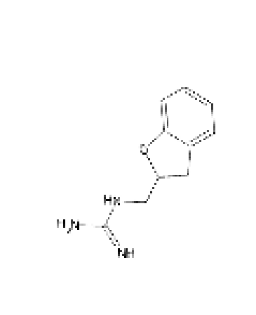 N=C(N)NCC1Cc2ccccc2O1